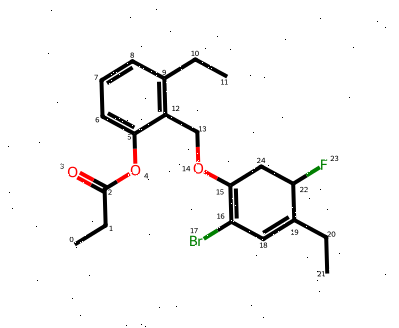 CCC(=O)Oc1cccc(CC)c1COC1=C(Br)C=C(CC)C(F)C1